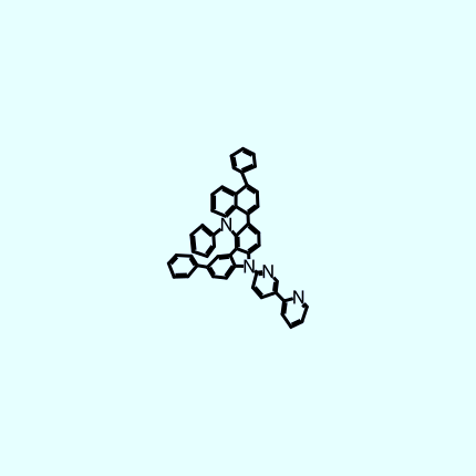 c1ccc(-c2ccc3c(c2)c2c4c(ccc2n3-c2ccc(-c3ccccn3)cn2)-c2ccc(-c3ccccc3)c3cccc(c23)N4c2ccccc2)cc1